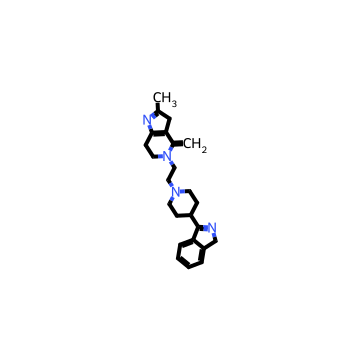 C=C1C2=C(CCN1CCN1CCC(C3=NCc4ccccc43)CC1)N=C(C)C2